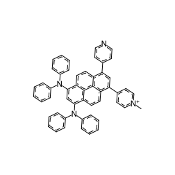 C[n+]1ccc(-c2cc(-c3ccncc3)c3ccc4c(N(c5ccccc5)c5ccccc5)cc(N(c5ccccc5)c5ccccc5)c5ccc2c3c45)cc1